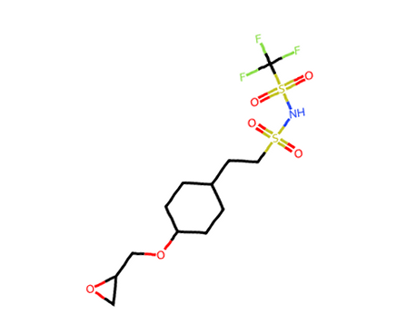 O=S(=O)(CCC1CCC(OCC2CO2)CC1)NS(=O)(=O)C(F)(F)F